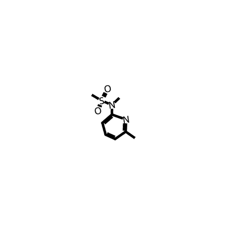 Cc1cccc(N(C)S(C)(=O)=O)n1